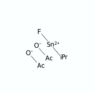 CC(=O)[O-].CC(=O)[O-].C[CH](C)[Sn+2][F]